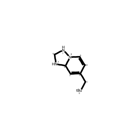 CC(C)(C)CC1=CC2NCNN2C=C1